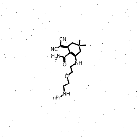 CCCNCCOCCNC1=C(C(N)=O)C(=C(C#N)C#N)CC(C)(C)C1